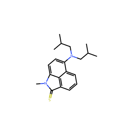 CC(C)CN(CC(C)C)c1ccc2c3c(cccc13)C(=S)N2C